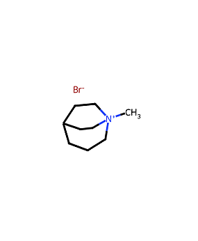 C[N+]12CCCC(CC1)CC2.[Br-]